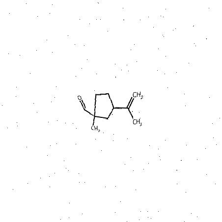 C=C(C)C1CCC(C)(C=O)C1